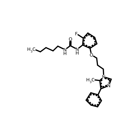 CCCCCNC(=O)Nc1c(F)cccc1OCCCn1cnc(-c2ccccc2)c1C